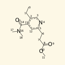 CCc1cnc(CCC(=O)OC)cc1C(=O)N(C)C